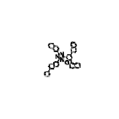 C1=C(c2ccc3ccccc3c2)CC(c2nc(-c3ccc4ccccc4c3)nc(-c3ccc4cc(-c5ccccc5)ccc4c3)n2)c2oc3ccc4ccccc4c3c21